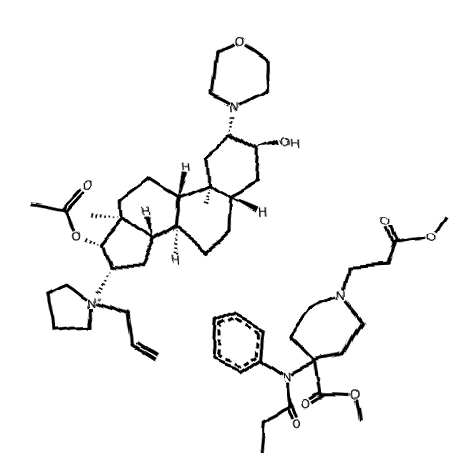 C=CC[N+]1([C@H]2C[C@H]3[C@@H]4CC[C@H]5C[C@H](O)[C@@H](N6CCOCC6)C[C@]5(C)[C@H]4CC[C@]3(C)[C@H]2OC(C)=O)CCCC1.CCC(=O)N(c1ccccc1)C1(C(=O)OC)CCN(CCC(=O)OC)CC1